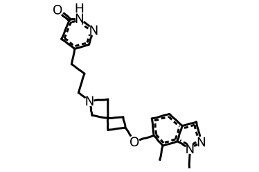 Cc1c(OC2CC3(C2)CN(CCCc2cn[nH]c(=O)c2)C3)ccc2cnn(C)c12